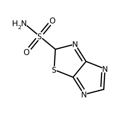 NS(=O)(=O)C1N=C2N=CN=C2S1